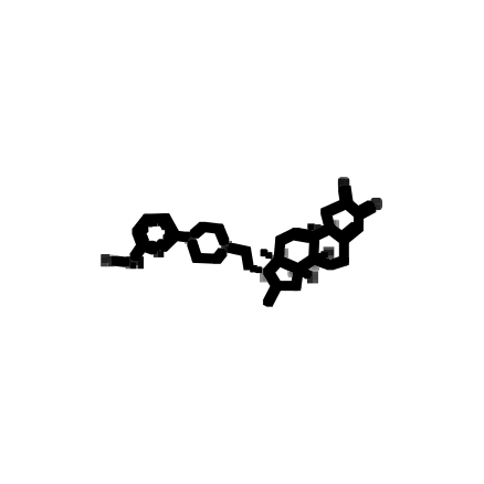 CCNc1cccc(N2CCN(CC[C@H]3C(C)C[C@H]4[C@@H]5CCC6=CC(=O)C(=O)C[C@]6(C)C5=CC[C@]34C)CC2)n1